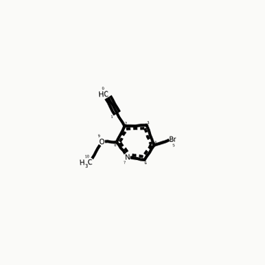 C#Cc1cc(Br)cnc1OC